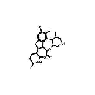 CC1CNCC(C)C1c1c(F)c(F)cc2c1C(C(=O)C=O)N(C1CCC(=O)NC1=O)C2